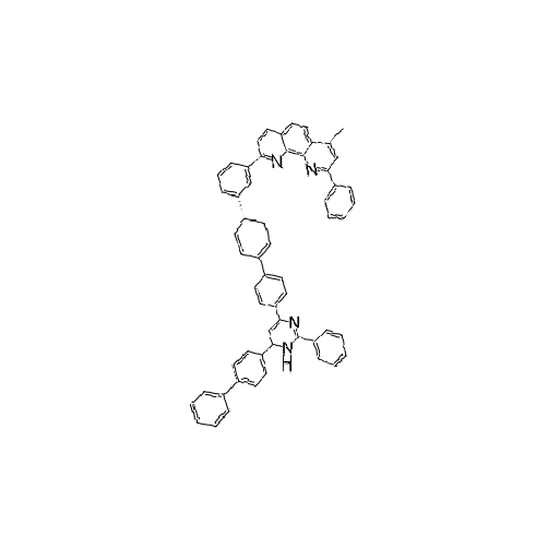 Cc1cc(-c2ccccc2)nc2c1ccc1ccc(-c3cccc([C@H]4C=CC(c5ccc(C6=CC(c7ccc(-c8ccccc8)cc7)NC(c7ccccc7)=N6)cc5)=CC4)c3)nc12